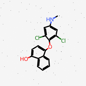 [CH2]Nc1cc(Cl)c(Oc2ccc(O)c3ccccc23)c(Cl)c1